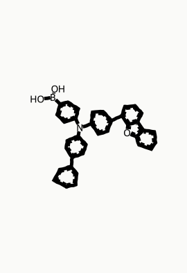 OB(O)c1ccc(N(c2ccc(-c3ccccc3)cc2)c2ccc(-c3cccc4c3oc3ccccc34)cc2)cc1